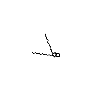 CCCCCCCCCCCCc1[c]c2ccccc2cc1CCCCCCCCCCCC